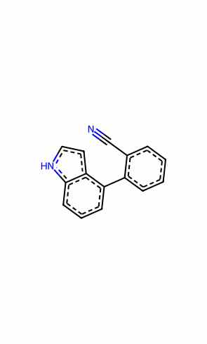 N#Cc1ccccc1-c1cccc2[nH]ccc12